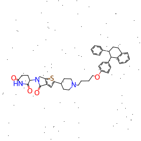 O=C1CCC(N2Cc3sc(C4CCN(CCCCOc5ccc(C6c7ccccc7CCC6c6ccccc6)cc5)CC4)cc3C2=O)C(=O)N1